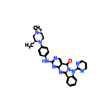 C[C@@H]1CN(C)CCN1c1ccc(Nc2ncc3c(=O)n4c(nc3n2)c2ccccc2n4-c2ncccn2)cc1